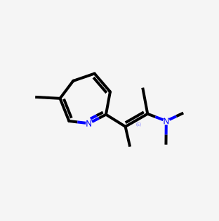 CC1=CN=C(/C(C)=C(\C)N(C)C)C=CC1